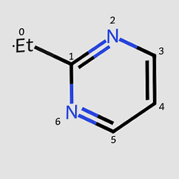 C[CH]c1ncccn1